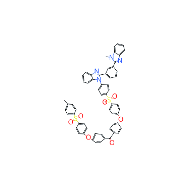 Cc1ccc(S(=O)(=O)c2ccc(Oc3ccc(C(=O)c4ccc(Oc5ccc(S(=O)(=O)c6ccc(-n7c(-c8cccc(-c9nc%10ccccc%10n9C)c8)nc8ccccc87)cc6)cc5)cc4)cc3)cc2)cc1